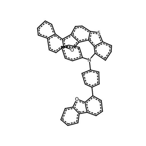 c1ccc(N(c2ccc(-c3cccc4c3oc3ccccc34)cc2)c2cccc3sc4ccc5c(oc6ccc7ccccc7c65)c4c23)cc1